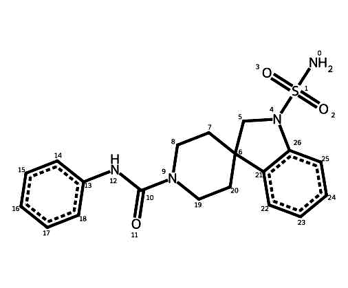 NS(=O)(=O)N1CC2(CCN(C(=O)Nc3ccccc3)CC2)c2ccccc21